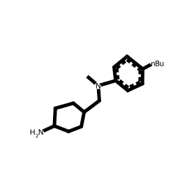 CCCCc1ccc(N(C)CC2CCC(N)CC2)cc1